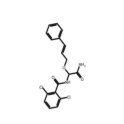 NC(=O)C(NC(=O)c1c(Cl)cccc1Cl)OCC=Cc1ccccc1